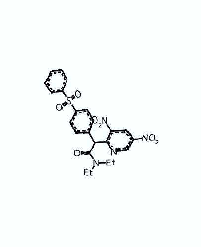 CCN(CC)C(=O)C(c1ccc(S(=O)(=O)c2ccccc2)cc1)c1ncc([N+](=O)[O-])cc1[N+](=O)[O-]